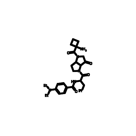 CCN(CC)c1ccc(C(=O)NC(CC(C)C)C(=O)N2CCC3C2C(=O)CN3C(=O)C2(N)CCC2)cc1